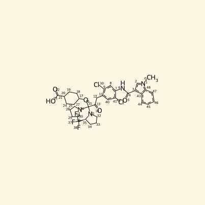 Cn1cc(C(=O)Nc2cc(Cl)c(CC(=O)C(OC3CCC(C(=O)O)CC3)(N3CCCC3)N3CCC[C@H]3C(F)(F)F)cc2Cl)c2ccccc21